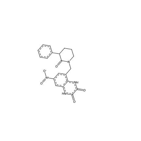 O=C1C(c2ccccc2)CCCN1Cc1cc([N+](=O)[O-])cc2[nH]c(=O)c(=O)[nH]c12